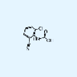 N#Cc1cccc(Cl)c1NC(=O)O